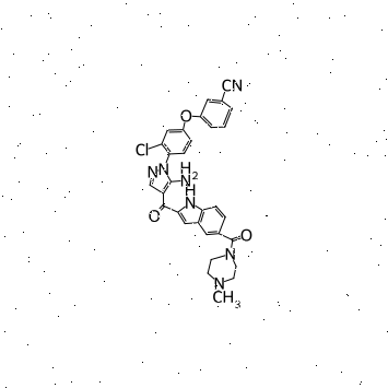 CN1CCN(C(=O)c2ccc3[nH]c(C(=O)c4cnn(-c5ccc(Oc6cccc(C#N)c6)cc5Cl)c4N)cc3c2)CC1